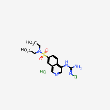 Cl.NC(=NCl)Nc1cncc2cc(S(=O)(=O)N(CC(=O)O)CC(=O)O)ccc12